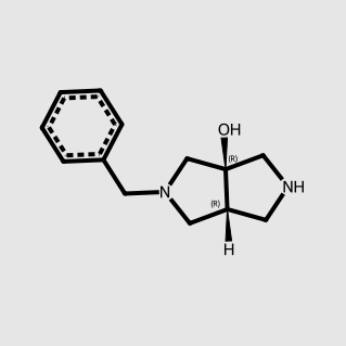 O[C@@]12CNC[C@@H]1CN(Cc1ccccc1)C2